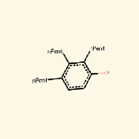 [B]c1ccc(CCCCC)c(CCCCC)c1CCCCC